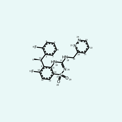 C[C@@H](c1ccccc1F)c1c(F)ccc2c1NC(NCc1cccnn1)=NS2(=O)=O